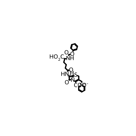 O=C(CCCC(NC(=O)Oc1ccccc1)C(=O)O)N[C@@H]1C(=O)N2C(C(=O)[O-])=C(C[n+]3ccccc3)CS[C@@H]12